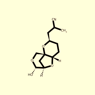 CC(C#N)C[C@H]1CC[C@@H]2O[C@@H]3C[C@]2(CO[C@H]3O)O1